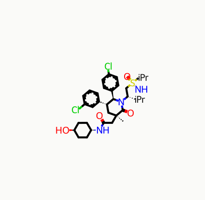 CC(C)[C@@H](CS(=N)(=O)C(C)C)N1C(=O)[C@@](C)(CC(=O)N[C@H]2CC[C@H](O)CC2)C[C@H](c2cccc(Cl)c2)[C@H]1c1ccc(Cl)cc1